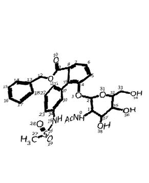 CC(=O)NC1C(Oc2cccc(C(=O)OCc3ccccc3)c2-c2cccc(NS(C)(=O)=O)c2)OC(CO)C(O)C1O